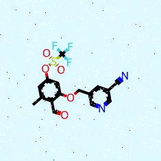 Cc1cc(OS(=O)(=O)C(F)(F)F)cc(OCc2cncc(C#N)c2)c1C=O